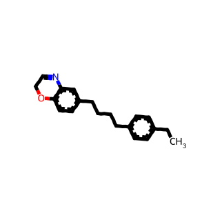 CCc1ccc(CCCCc2ccc3c(c2)N=CCO3)cc1